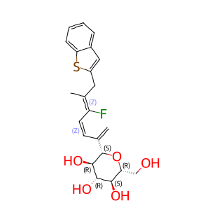 C=C(/C=C\C(F)=C(/C)Cc1cc2ccccc2s1)[C@@H]1O[C@H](CO)[C@@H](O)[C@H](O)[C@H]1O